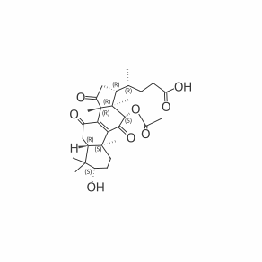 CC(=O)O[C@@H]1C(=O)C2=C(C(=O)C[C@H]3C(C)(C)[C@@H](O)CC[C@]23C)[C@]2(C)C(=O)C[C@H]([C@H](C)CCC(=O)O)[C@@]12C